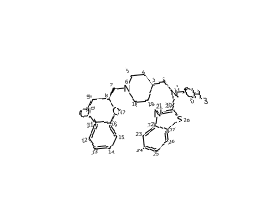 CN(CC1CCN(C[C@@H]2COc3ccccc3O2)CC1)c1nc2ccccc2s1